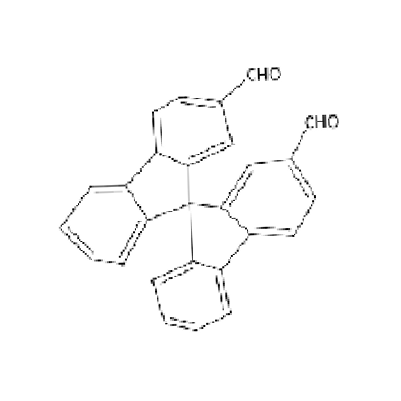 O=Cc1ccc2c(c1)C1(c3ccccc3-2)c2ccccc2-c2ccc(C=O)cc21